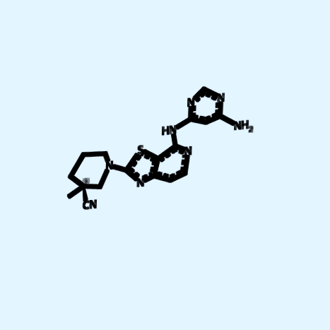 C[C@]1(C#N)CCCN(c2nc3ccnc(Nc4cc(N)ncn4)c3s2)C1